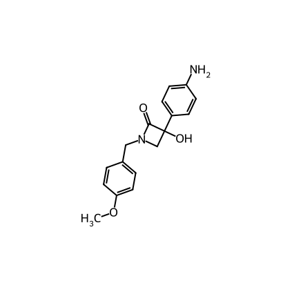 COc1ccc(CN2CC(O)(c3ccc(N)cc3)C2=O)cc1